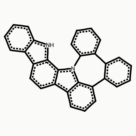 c1ccc2c(c1)-c1ccccc1-n1c3c-2cccc3c2ccc3c4ccccc4[nH]c3c21